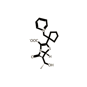 C[C@@H](O)[C@H]1C(=O)N2C(C(=O)[O-])=C(C3(C[n+]4ccccc4)CCCC3)S[C@H]12